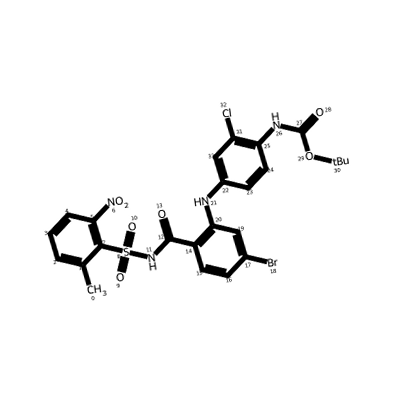 Cc1cc[c]c([N+](=O)[O-])c1S(=O)(=O)NC(=O)c1ccc(Br)cc1Nc1ccc(NC(=O)OC(C)(C)C)c(Cl)c1